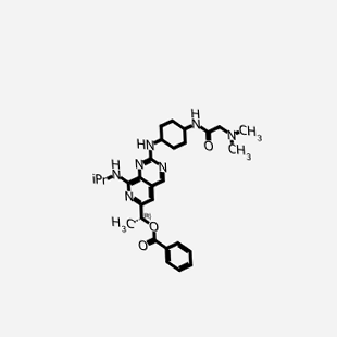 CC(C)Nc1nc([C@@H](C)OC(=O)c2ccccc2)cc2cnc(NC3CCC(NC(=O)CN(C)C)CC3)nc12